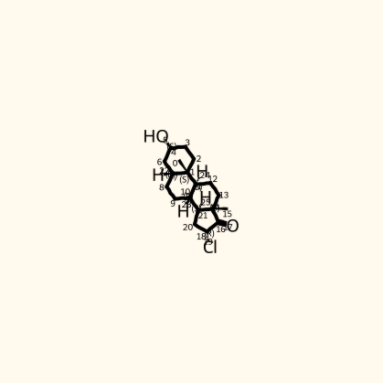 C[C@]12CC[C@H](O)C[C@H]1CC[C@@H]1[C@@H]2CC[C@]2(C)C(=O)[C@H](Cl)C[C@@H]12